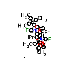 Cc1ccc([Si](c2ccc(C)cc2)(c2ccc(C)cc2)c2cccc(-c3cc(F)ccc3N(c3cc4c(C(C)C)ccc5c(N(c6ccc(F)cc6-c6cccc([Si](c7ccc(C)cc7)(c7ccc(C)cc7)c7ccc(C)cc7)c6)c6cccc7c6oc6ccccc67)cc6c(C(C)C)ccc3c6c45)c3cccc4c3oc3ccccc34)c2)cc1